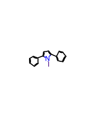 In1c(-c2ccccc2)ccc1-c1ccccc1